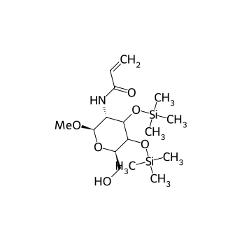 C=CC(=O)N[C@@H]1C(O[Si](C)(C)C)C(O[Si](C)(C)C)[C@@H](CO)O[C@H]1OC